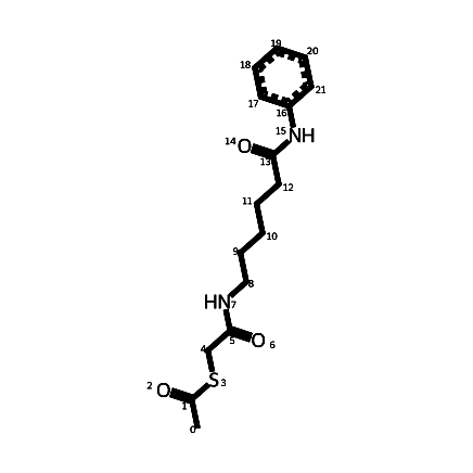 CC(=O)SCC(=O)NCCCCCC(=O)Nc1ccccc1